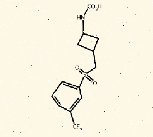 O=C(O)NC1CC(CS(=O)(=O)c2cccc(C(F)(F)F)c2)C1